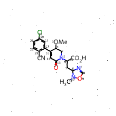 COC1CN(C(CC2N=CON2C)C(=O)O)C(=O)C=C1c1cc(Cl)ccc1C#N